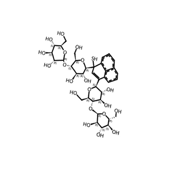 OC[C@H]1O[C@H](O[C@H]2[C@H](O)[C@@H](O)[C@H](C3(S)C=C([C@@H]4O[C@H](CO)[C@@H](O[C@H]5O[C@H](CO)[C@@H](O)[C@H](O)[C@H]5O)[C@H](O)[C@H]4O)c4cccc5cccc3c45)O[C@@H]2CO)[C@H](O)[C@@H](O)[C@@H]1O